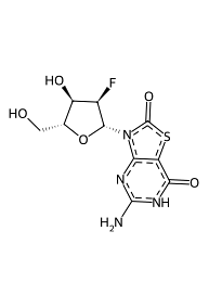 Nc1nc2c(sc(=O)n2[C@@H]2O[C@H](CO)[C@@H](O)[C@H]2F)c(=O)[nH]1